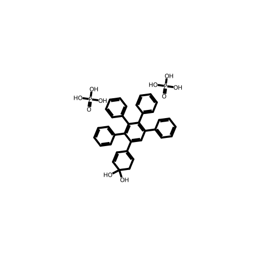 O=P(O)(O)O.O=P(O)(O)O.OC1(O)C=CC(c2cc(-c3ccccc3)c(-c3ccccc3)c(-c3ccccc3)c2-c2ccccc2)=CC1